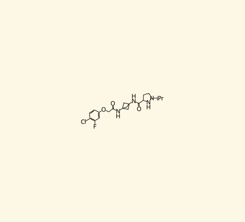 CC(C)N1CCC(C(=O)NC23CC(NC(=O)COc4ccc(Cl)c(F)c4)(C2)C3)N1